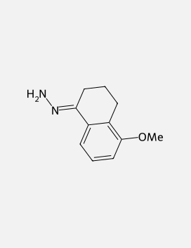 COc1cccc2c1CCCC2=NN